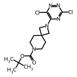 CC(C)(C)OC(=O)N1CCC2(CC1)CN(c1nc(Cl)nnc1Cl)C2